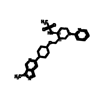 Cn1ncc2cc(C3CCC(OC[C@@H]4CN(c5ccccn5)CC[C@@H]4NS(C)(=O)=O)CC3)ncc21